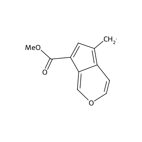 [CH2]c1cc(C(=O)OC)c2coccc1-2